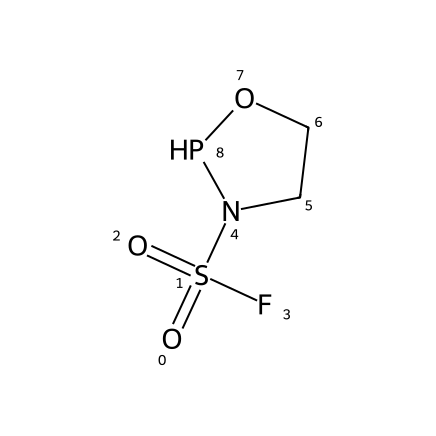 O=S(=O)(F)N1CCOP1